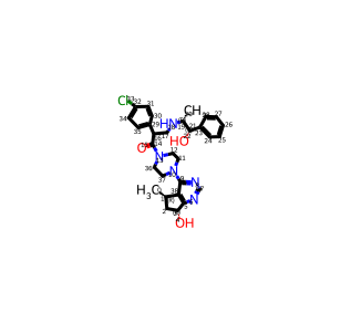 C[C@@H]1C[C@@H](O)c2ncnc(N3CCN(C(=O)C(CN[C@H](C)[C@@H](O)c4ccccc4)c4ccc(Cl)cc4)CC3)c21